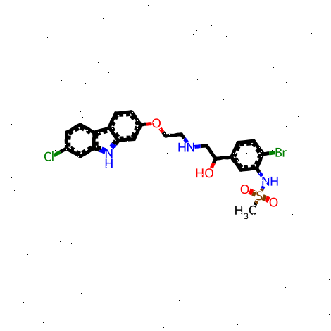 CS(=O)(=O)Nc1cc(C(O)CNCCOc2ccc3c(c2)[nH]c2cc(Cl)ccc23)ccc1Br